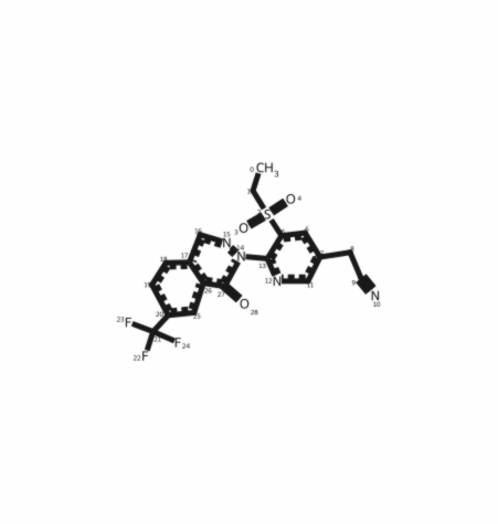 CCS(=O)(=O)c1cc(CC#N)cnc1-n1ncc2ccc(C(F)(F)F)cc2c1=O